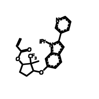 C=CC(=O)OC1CCC(Oc2ccc3cc(-c4cccnc4)n(C(C)C)c3c2)C1(C)C(F)(F)F